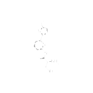 CC(C)C[C@H](N)C(=O)Nc1cccc(-c2nc(C(C)C)cs2)n1